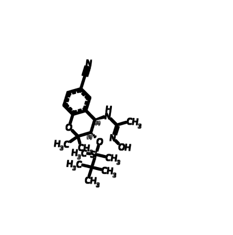 CC(=NO)N[C@@H]1c2cc(C#N)ccc2OC(C)(C)[C@H]1O[Si](C)(C)C(C)(C)C